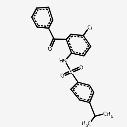 CC(C)c1ccc(S(=O)(=O)Nc2ccc(Cl)cc2C(=O)c2ccccc2)cc1